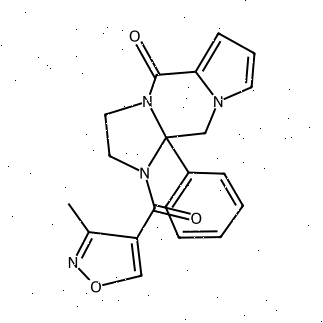 Cc1nocc1C(=O)N1CCN2C(=O)c3cccn3CC12c1ccccc1